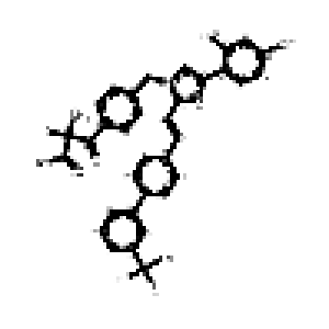 CC(N)(C(=O)O)C(=O)c1ccc(Cn2cc(-c3ccc(Cl)cc3Cl)nc2C=Cc2ccc(-c3cccc(C(F)(F)F)c3)cc2)cc1